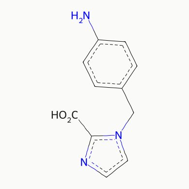 Nc1ccc(Cn2ccnc2C(=O)O)cc1